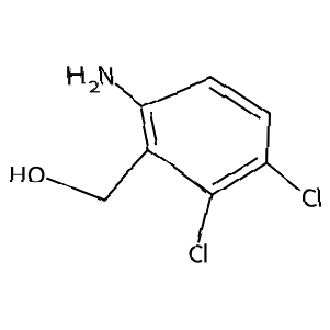 Nc1ccc(Cl)c(Cl)c1CO